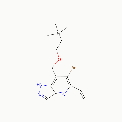 C=Cc1nc2cn[nH]c2c(COCC[Si](C)(C)C)c1Br